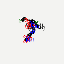 Cc1nn(C)c(C)c1-c1c(Cl)ccc2c(CCCOc3cccc4cc(F)ccc34)c(C(=O)OCOC(=O)C(C)(C)C)n(CCN3CCC(CN4CCN(c5ccc6c(c5)CN([C@H]5CCC(=O)NC5=O)C6=O)CC4)CC3)c12